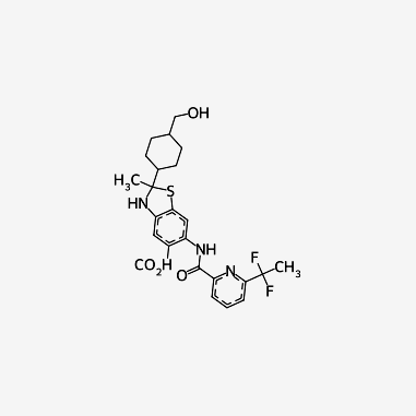 CC(F)(F)c1cccc(C(=O)Nc2cc3c(cc2C(=O)O)NC(C)(C2CCC(CO)CC2)S3)n1